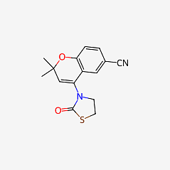 CC1(C)C=C(N2CCSC2=O)c2cc(C#N)ccc2O1